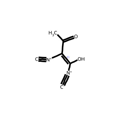 [C-]#[N+]/C(O)=C(\[N+]#[C-])C(C)=O